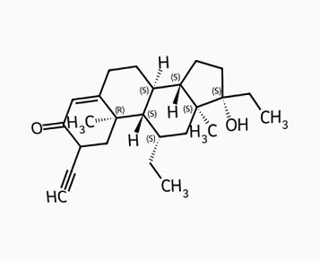 C#CC1C[C@@]2(C)C(=CC1=O)CC[C@@H]1[C@@H]2[C@@H](CC)C[C@@]2(C)[C@H]1CC[C@@]2(O)CC